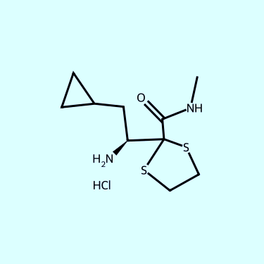 CNC(=O)C1([C@@H](N)CC2CC2)SCCS1.Cl